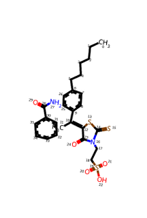 CCCCCCc1ccc(C(C)=C2SC(=S)N(CCS(=O)(=O)O)C2=O)cc1.NC(=O)c1ccccc1